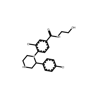 O=C(NCCO)c1ccc(N2CCNCC2c2ccc(Cl)cc2)c(Cl)c1